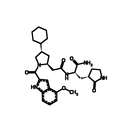 COc1cccc2[nH]c(C(=O)N3C[C@H](C4CCCCC4)C[C@H]3CC(=O)N[C@@H](C[C@@H]3CCNC3=O)C(N)=O)cc12